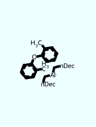 CCCCCCCCCC[CH2][Al][CH2]CCCCCCCCCC.Cc1ccccc1Oc1ccccc1C